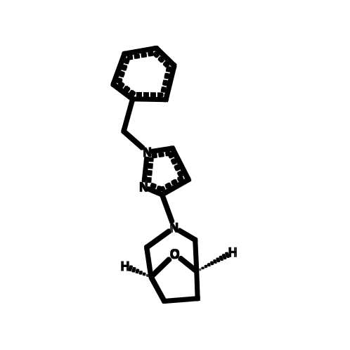 c1ccc(Cn2ccc(N3C[C@H]4CC[C@@H](C3)O4)n2)cc1